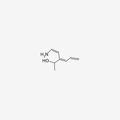 C=C/C=C(\C=C/N)C(C)O